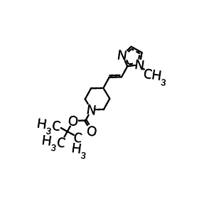 Cn1ccnc1C=CC1CCN(C(=O)OC(C)(C)C)CC1